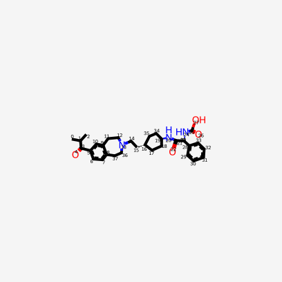 CC(C)C(=O)c1ccc2c(c1)CCN(CC[C@H]1CC[C@H](NC(=O)[C@H](NC(=O)O)c3ccccc3)CC1)CC2